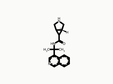 CC(C)(NC(=O)C1C2CNC[C@@H]21)c1cncc2ccccc12